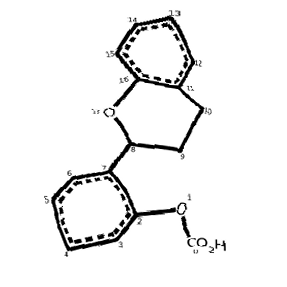 O=C(O)Oc1ccccc1C1CCc2ccccc2O1